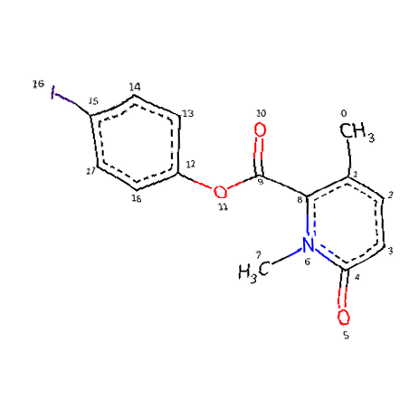 Cc1ccc(=O)n(C)c1C(=O)Oc1ccc(I)cc1